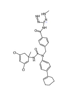 CN/N=C(\N=N)NC(=O)c1ccc(CN(C(=O)NC2(C)C=C(Cl)C=C(Cl)C2)c2ccc(C3=CCCCC3)cc2)cc1